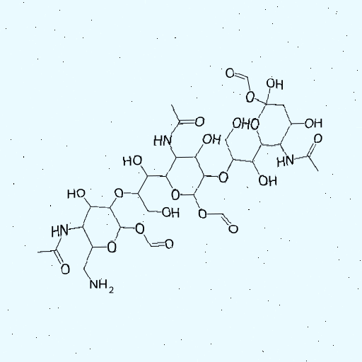 CC(=O)NC1C(CN)OC(OC=O)C(OC(CO)C(O)C2OC(OC=O)C(OC(CO)C(O)C3OC(O)(OC=O)CC(O)C3NC(C)=O)C(O)C2NC(C)=O)C1O